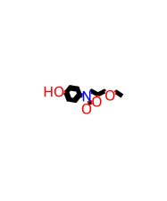 CCOCC1CN(c2ccc(O)cc2)C(=O)O1